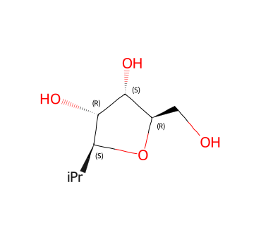 CC(C)[C@@H]1O[C@H](CO)[C@@H](O)[C@H]1O